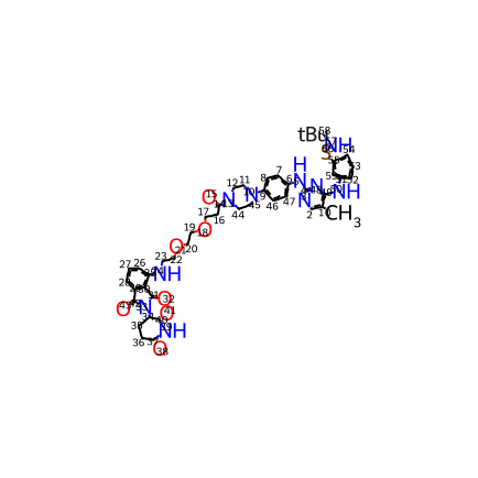 Cc1cnc(Nc2ccc(N3CCN(C(=O)CCOCCOCCNc4cccc5c4C(=O)N(C4CCC(=O)NC4=O)C5=O)CC3)cc2)nc1Nc1cccc(SNC(C)(C)C)c1